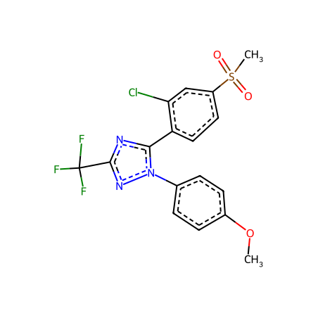 COc1ccc(-n2nc(C(F)(F)F)nc2-c2ccc(S(C)(=O)=O)cc2Cl)cc1